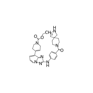 CCOC(=O)N1CC=C(c2cccn3nc(Nc4ccc(C(=O)N5CCC6(CCNC6)CC5)cc4)nc23)CC1